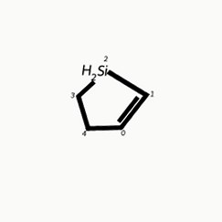 C1=C[SiH2]CC1